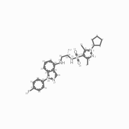 Cc1nn(C2CCCC2)c(C)c1S(=O)(=O)N[C@@H](C)CNc1cccc2c1cnn2-c1ccc(F)cc1